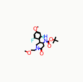 COCCN1CC(c2c(F)cc(OC)cc2F)C(NC(=O)OC(C)(C)C)CC1=O